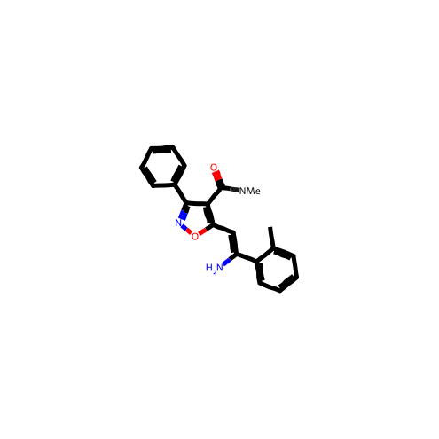 CNC(=O)c1c(-c2ccccc2)noc1/C=C(\N)c1ccccc1C